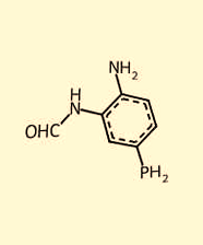 Nc1ccc(P)cc1NC=O